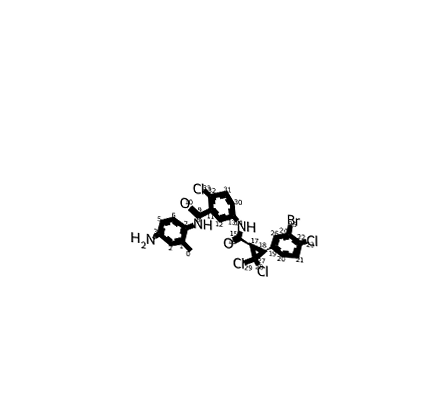 Cc1cc(N)ccc1NC(=O)c1cc(NC(=O)[C@H]2[C@H](c3ccc(Cl)c(Br)c3)C2(Cl)Cl)ccc1Cl